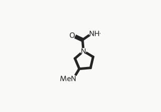 CNC1CCN(C([NH])=O)C1